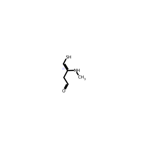 CN/C(=C\S)CC=O